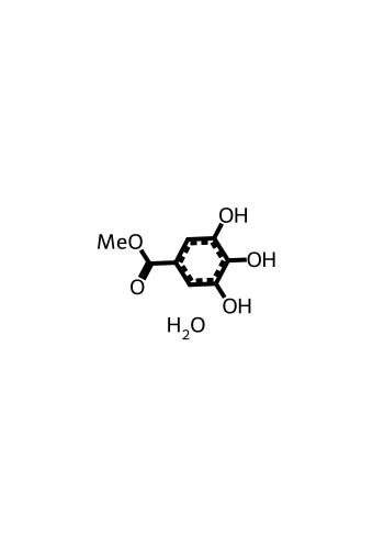 COC(=O)c1cc(O)c(O)c(O)c1.O